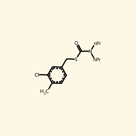 CCCN(CCC)C(=O)SCc1ccc(C)c(Cl)c1